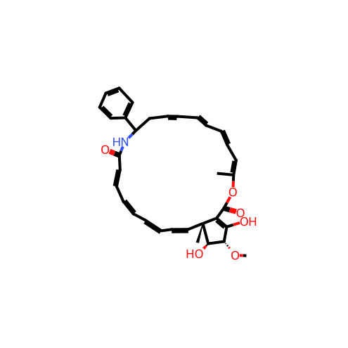 CO[C@H]1C(O)=C2C(=O)O/C(C)=C/C=C/C=C/C=C\CC(c3ccccc3)NC(=O)\C=C/C=C\C=C\C=C\[C@@]2(C)[C@@H]1O